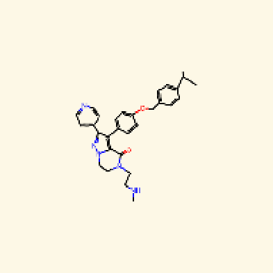 CNCCN1CCn2nc(-c3ccncc3)c(-c3ccc(OCc4ccc(C(C)C)cc4)cc3)c2C1=O